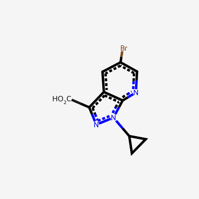 O=C(O)c1nn(C2CC2)c2ncc(Br)cc12